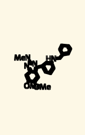 CNc1nc(-c2cccc(NCc3ccccc3)c2)c2cc(OC)c(OC)cc2n1